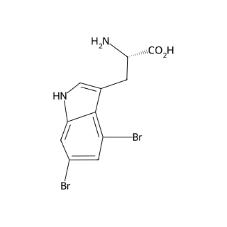 N[C@@H](Cc1c[nH]c2cc(Br)cc(Br)c12)C(=O)O